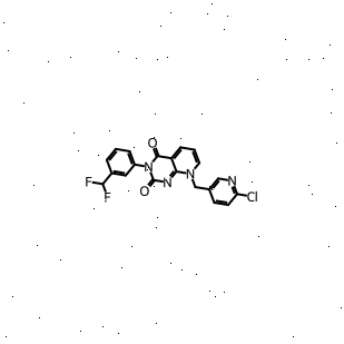 O=c1nc2n(Cc3ccc(Cl)nc3)cccc-2c(=O)n1-c1cccc(C(F)F)c1